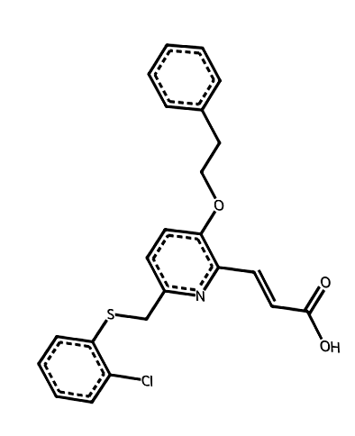 O=C(O)C=Cc1nc(CSc2ccccc2Cl)ccc1OCCc1ccccc1